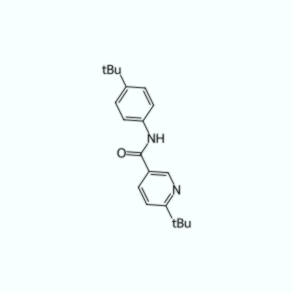 CC(C)(C)c1ccc(NC(=O)c2ccc(C(C)(C)C)nc2)cc1